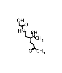 CC(=O)CC[C@@H](CCNC(=O)CO)N(C)C